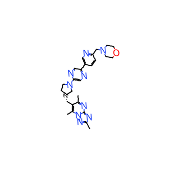 Cc1nc2nc(C)c(C[C@@H]3CCN(c4cnc(-c5ccc(CN6CCOCC6)nc5)cn4)C3)c(C)n2n1